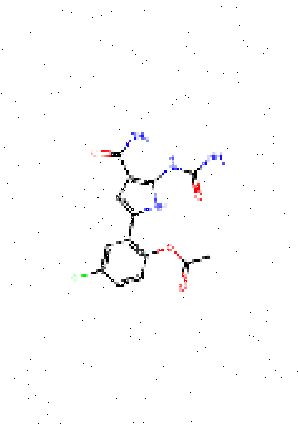 CC(=O)Oc1ccc(Cl)cc1-c1cc(C(N)=O)c(NC(N)=O)[nH]1